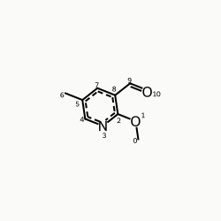 COc1ncc(C)cc1C=O